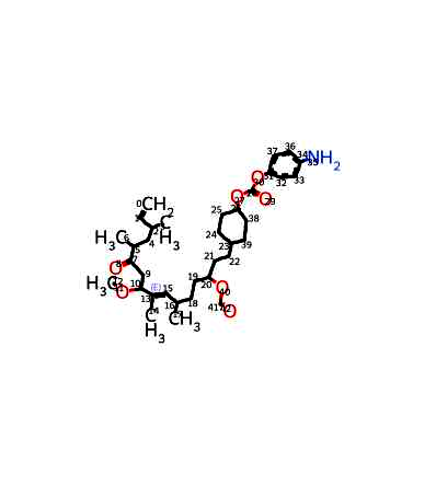 C=CC(C)CC(C)C(=O)CC(OC)/C(C)=C/C(C)CCC(CCC1CCC(OC(=O)Oc2ccc(N)cc2)CC1)OC=O